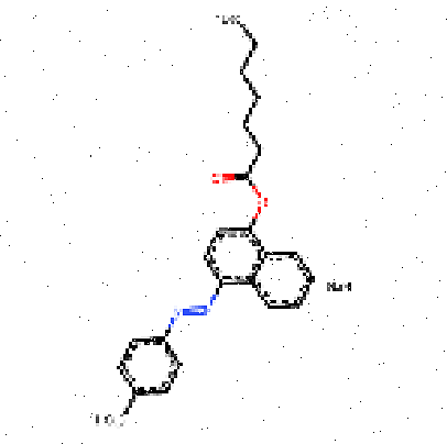 CCCCCCCCCCCCCCCC(=O)Oc1ccc(N=Nc2ccc(S(=O)(=O)O)cc2)c2ccccc12.[NaH]